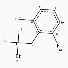 CCC(C)(C)Cc1c(F)cccc1F